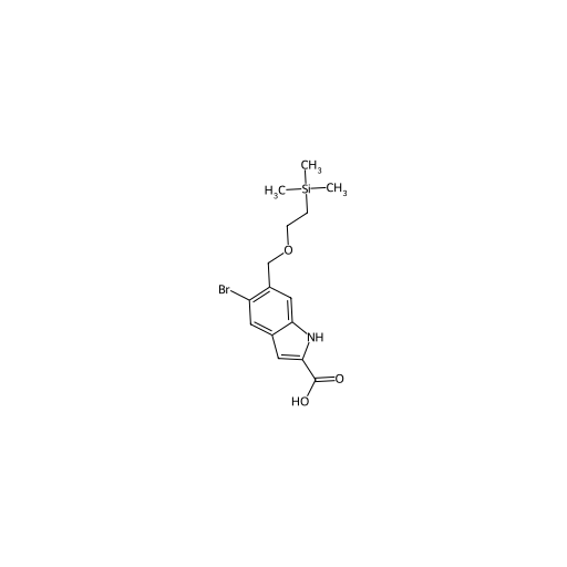 C[Si](C)(C)CCOCc1cc2[nH]c(C(=O)O)cc2cc1Br